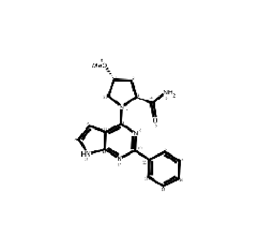 CO[C@@H]1C[C@@H](C(N)=O)N(c2nc(-c3ccccc3)nc3[nH]ccc23)C1